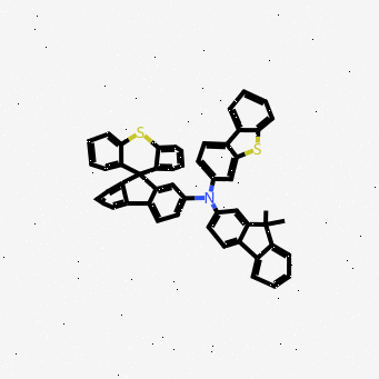 CC1(C)c2ccccc2-c2ccc(N(c3ccc4c(c3)C3(c5ccccc5Sc5ccccc53)c3ccccc3-4)c3ccc4c(c3)sc3ccccc34)cc21